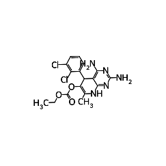 CCOC(=O)OC1=C(C)Nc2nc(N)nc(N)c2C1c1cccc(Cl)c1Cl